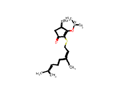 CC(C)=CCCC(C)=CCSC1=C(O[SiH](C)C)C(C(C)(C)C)CC1=O